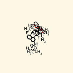 Cc1c(Cl)nc(N2CC3CCC(C2)N3C(=O)OC(C)(C)C)c2cnc(-c3cc(NC(=O)OC(C)(C)C)cc4ccc(F)c(C#C[Si](C(C)C)(C(C)C)C(C)C)c34)c(F)c12